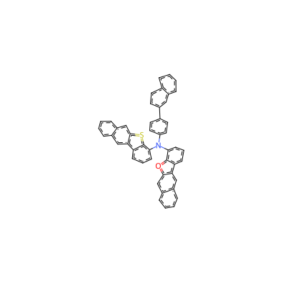 c1ccc2cc(-c3ccc(N(c4cccc5c4oc4cc6ccccc6cc45)c4cccc5c4sc4cc6ccccc6cc45)cc3)ccc2c1